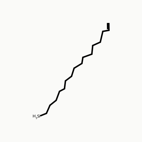 C=CCCCCCCCCCCCCCC[SiH3]